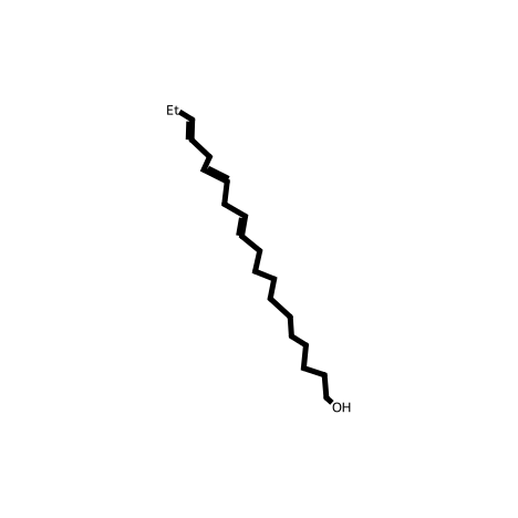 CCC=CCC=CCC=CCCCCCCCCCCO